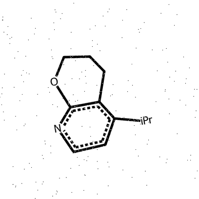 CC(C)c1ccnc2c1CCCO2